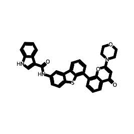 O=C(Nc1ccc2sc3c(-c4cccc5c(=O)cc(N6CCOCC6)oc45)cccc3c2c1)c1c[nH]c2ccccc12